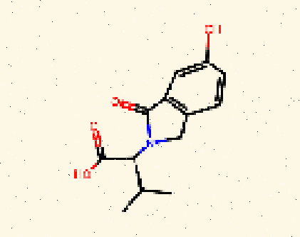 CC(C)[C@@H](C(=O)O)N1Cc2ccc(O)cc2C1=O